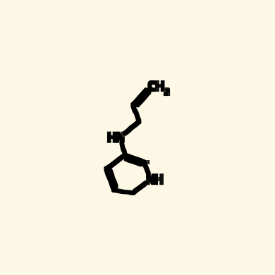 C=CCNC1=[C]NCC=C1